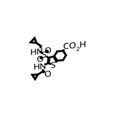 O=C(O)C1CCc2sc(NC(=O)C3CC3)c(S(=O)(=O)NCC3CC3)c2C1